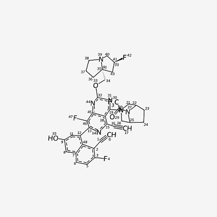 C#Cc1c(F)ccc2cc(O)cc(-c3nc(C#C)c4c(N5CC6CCC(C5)N6C(=O)C(F)(F)F)nc(OC[C@]56CCCN5C[C@@H](F)C6)nc4c3F)c12